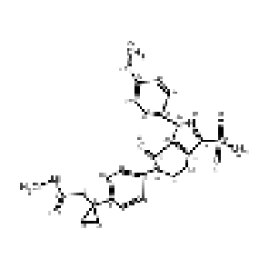 CNC(=O)CC1(c2ccc(N3CCc4c(S(C)(=O)=O)nn(-c5ccc(OC)cc5)c4C3=O)cc2)CC1